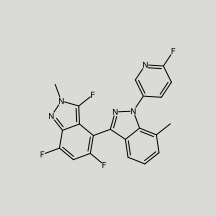 Cc1cccc2c(-c3c(F)cc(F)c4nn(C)c(F)c34)nn(-c3ccc(F)nc3)c12